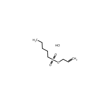 C=CCOS(=O)(=O)CCCCC.Cl